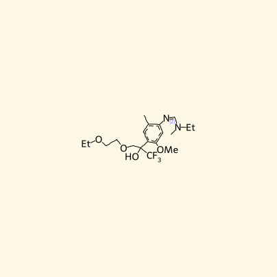 CCOCCOCC(O)(c1cc(C)c(/N=C\N(C)CC)cc1OC)C(F)(F)F